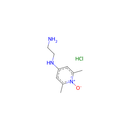 Cc1cc(NCCN)cc(C)[n+]1[O-].Cl